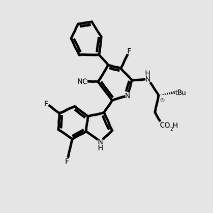 CC(C)(C)[C@H](CC(=O)O)Nc1nc(-c2c[nH]c3c(F)cc(F)cc23)c(C#N)c(-c2ccccc2)c1F